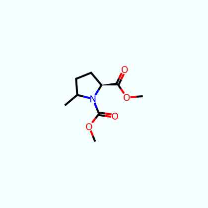 COC(=O)[C@@H]1CCC(C)N1C(=O)OC